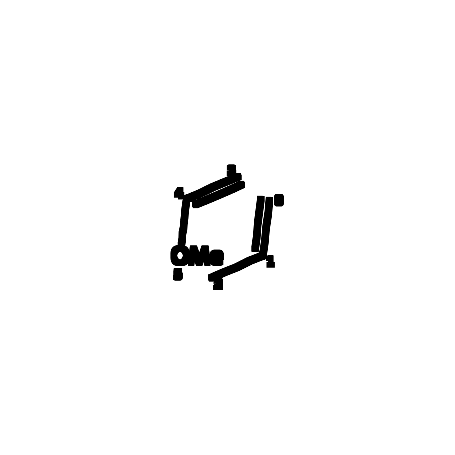 C=CC.C=COC